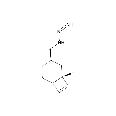 N=NNC[C@@H]1CCC2C=C[C@H]2C1